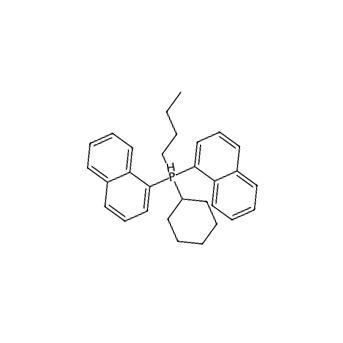 CCCC[PH](c1cccc2ccccc12)(c1cccc2ccccc12)C1CCCCC1